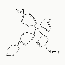 Nc1ccc(C(c2ccccc2)(c2ccc(N)cc2)c2ccc(-c3ccccc3)cc2)cc1